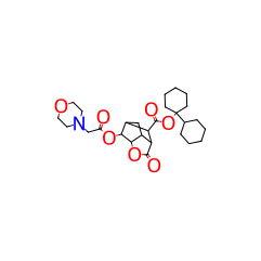 O=C(CN1CCOCC1)OC1C2CC3C1OC(=O)C3C2C(=O)OC1(C2CCCCC2)CCCCC1